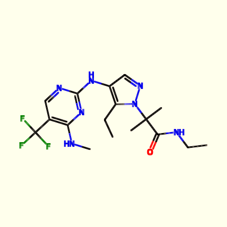 CCNC(=O)C(C)(C)n1ncc(Nc2ncc(C(F)(F)F)c(NC)n2)c1CC